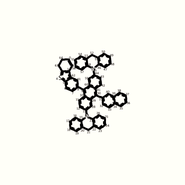 C1=Cc2c(sc3ccc(-c4c5ccc(N6c7ccccc7Cc7ccccc76)cc5c(-c5ccc6ccccc6c5)c5ccc(N6c7ccccc7Cc7ccccc76)cc45)cc23)CC1